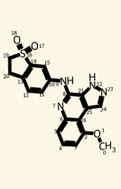 COc1cccc2nc(Nc3ccc4c(c3)S(=O)(=O)CC4)c3[nH]ncc3c12